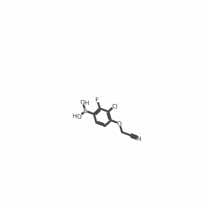 N#CCOc1ccc(B(O)O)c(F)c1Cl